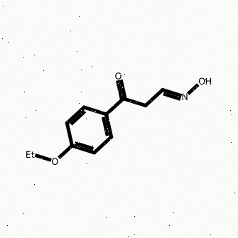 CCOc1ccc(C(=O)CC=NO)cc1